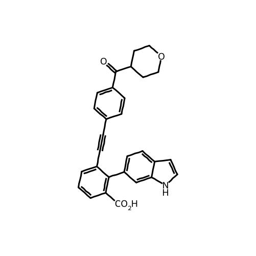 O=C(O)c1cccc(C#Cc2ccc(C(=O)C3CCOCC3)cc2)c1-c1ccc2cc[nH]c2c1